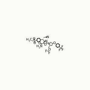 CCS(=O)(=O)c1ccc([C@H](CC#N)c2nc(N3C[C@@H](Oc4ccc(C(F)(F)F)cc4)C[C@H]3COC(F)F)oc2C(N)=O)cc1